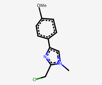 COc1ccc(-c2cn(C)c(CCl)n2)cc1